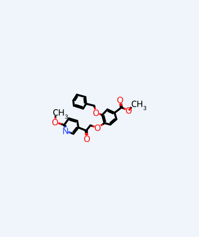 COC(=O)c1ccc(OCC(=O)c2ccc(OC)nc2)c(OCc2ccccc2)c1